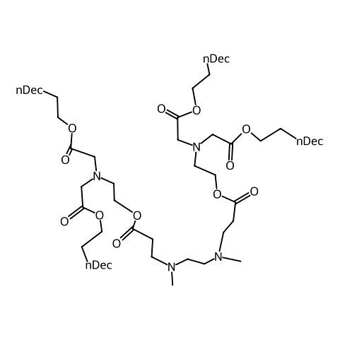 CCCCCCCCCCCCOC(=O)CN(CCOC(=O)CCN(C)CCN(C)CCC(=O)OCCN(CC(=O)OCCCCCCCCCCCC)CC(=O)OCCCCCCCCCCCC)CC(=O)OCCCCCCCCCCCC